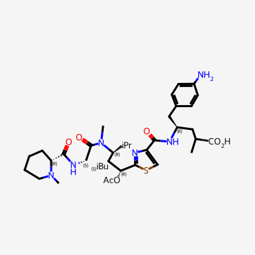 CC[C@H](C)[C@H](NC(=O)[C@H]1CCCCN1C)C(=O)N(C)[C@H](C[C@@H](OC(C)=O)c1nc(C(=O)N[C@@H](Cc2ccc(N)cc2)CC(C)C(=O)O)cs1)C(C)C